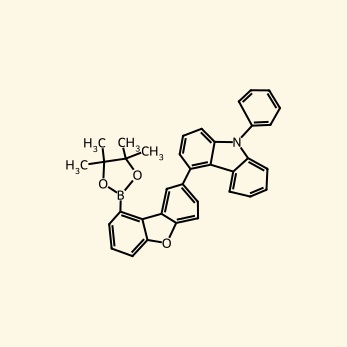 CC1(C)OB(c2cccc3oc4ccc(-c5cccc6c5c5ccccc5n6-c5ccccc5)cc4c23)OC1(C)C